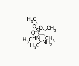 CCO[Si](OCC)(OCC)C(CC)NC(C)N